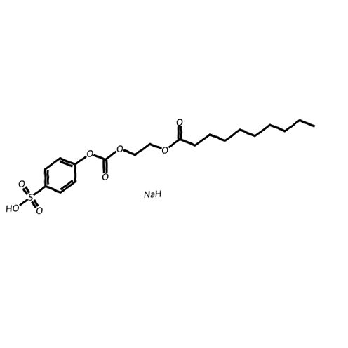 CCCCCCCCCC(=O)OCCOC(=O)Oc1ccc(S(=O)(=O)O)cc1.[NaH]